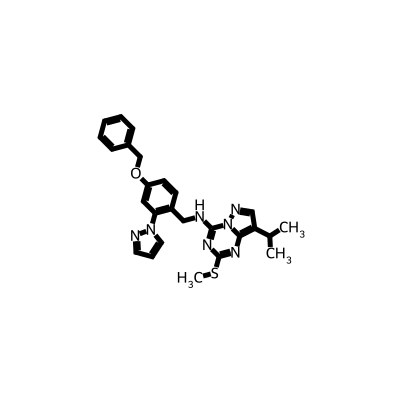 CSc1nc(NCc2ccc(OCc3ccccc3)cc2-n2cccn2)n2ncc(C(C)C)c2n1